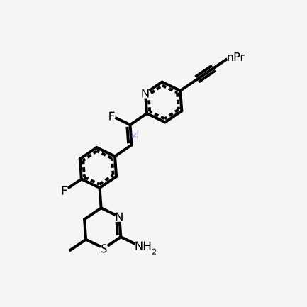 CCCC#Cc1ccc(/C(F)=C/c2ccc(F)c(C3CC(C)SC(N)=N3)c2)nc1